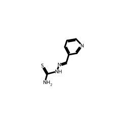 NC(=S)NN=Cc1cccnc1